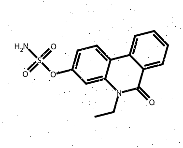 CCn1c(=O)c2ccccc2c2ccc(OS(N)(=O)=O)cc21